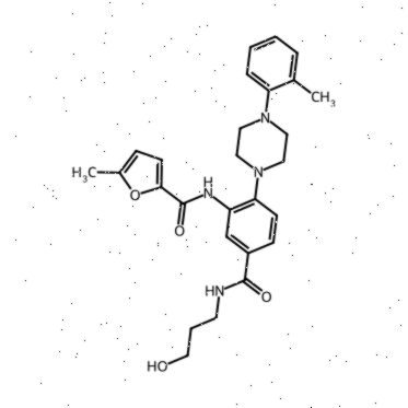 Cc1ccc(C(=O)Nc2cc(C(=O)NCCCO)ccc2N2CCN(c3ccccc3C)CC2)o1